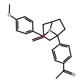 C=C1CC2CCC(c3ccc(C(C)=O)cc3)(C1)N2Cc1ccc(OC)cc1